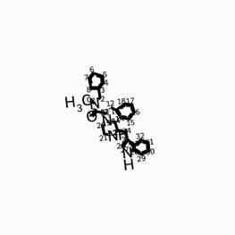 CN(Cc1ccccc1)C(=O)[C@H](Cc1ccccc1)N1CCNC(Cc2c[nH]c3ccccc23)C1